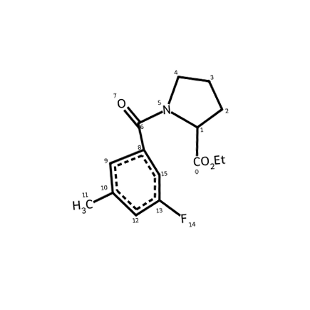 CCOC(=O)C1CCCN1C(=O)c1cc(C)cc(F)c1